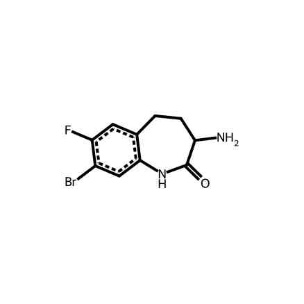 NC1CCc2cc(F)c(Br)cc2NC1=O